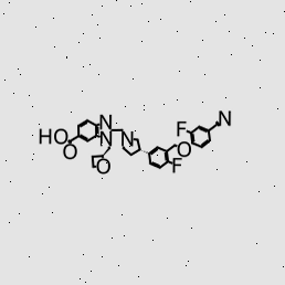 N#Cc1ccc(OCc2cc([C@@H]3CCN(Cc4nc5ccc(C(=O)O)cc5n4C[C@@H]4CCO4)C3)ccc2F)c(F)c1